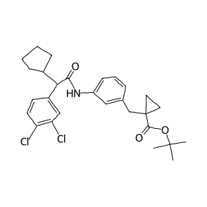 CC(C)(C)OC(=O)C1(Cc2cccc(NC(=O)C(c3ccc(Cl)c(Cl)c3)C3CCCC3)c2)CC1